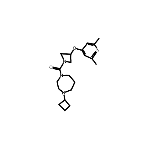 Cc1cc(OC2CN(C(=O)N3CCCN(C4CCC4)CC3)C2)cc(C)n1